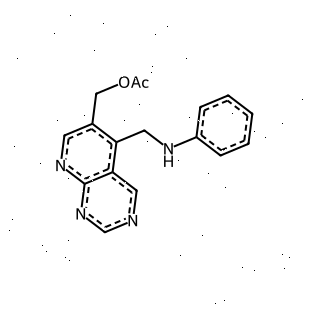 CC(=O)OCc1cnc2ncncc2c1CNc1ccccc1